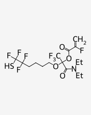 C=C(F)C(=O)OC(OCCCCC(F)(F)C(F)(F)S)(C(=O)N(CC)CC)C(F)(F)F